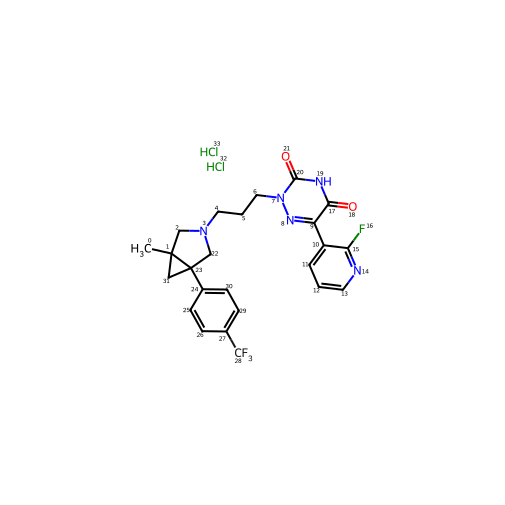 CC12CN(CCCn3nc(-c4cccnc4F)c(=O)[nH]c3=O)CC1(c1ccc(C(F)(F)F)cc1)C2.Cl.Cl